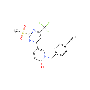 C#Cc1ccc(CN2C=C(c3cc(C(F)(F)F)nc(S(C)(=O)=O)n3)C=CC2O)cc1